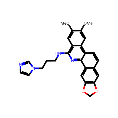 COc1cc2c(NCCCn3ccnc3)nc3c4cc5c(cc4ccc3c2cc1OC)OCO5